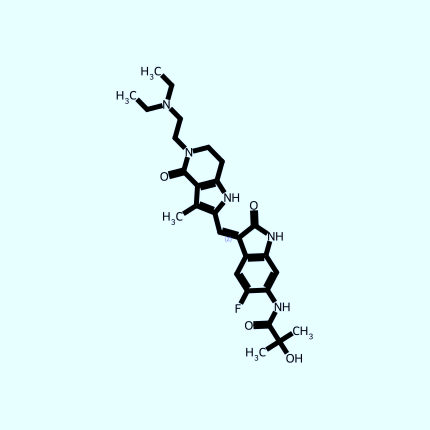 CCN(CC)CCN1CCc2[nH]c(/C=C3\C(=O)Nc4cc(NC(=O)C(C)(C)O)c(F)cc43)c(C)c2C1=O